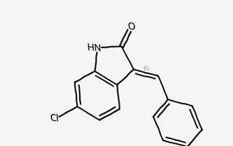 O=C1Nc2cc(Cl)ccc2/C1=C\c1ccccc1